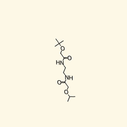 CC(C)OCC(=O)NCCNC(=O)COC(C)(C)C